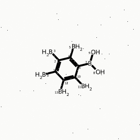 Bc1c(B)c(B)c(B(O)O)c(B)c1B